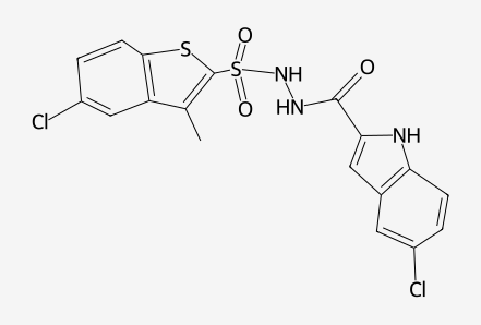 Cc1c(S(=O)(=O)NNC(=O)c2cc3cc(Cl)ccc3[nH]2)sc2ccc(Cl)cc12